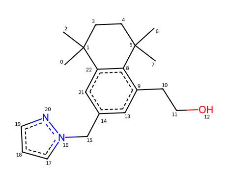 CC1(C)CCC(C)(C)c2c(CCO)cc(Cn3cccn3)cc21